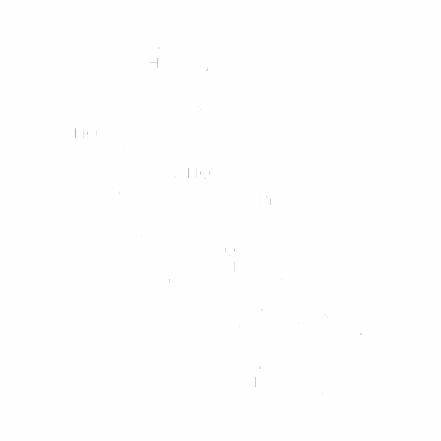 Cc1cc(C(=O)CO)ccc1O.O=C(CO)c1cccc(Br)c1O.O=C(CO)c1ccccc1O